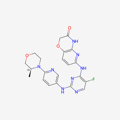 C[C@H]1COCCN1c1ccc(Nc2ncc(F)c(Nc3ccc4c(n3)NC(=O)CO4)n2)cn1